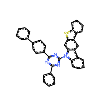 c1ccc(-c2ccc(-c3nc(-c4ccccc4)nc(-n4c5ccccc5c5cc6c(cc54)sc4ccccc46)n3)cc2)cc1